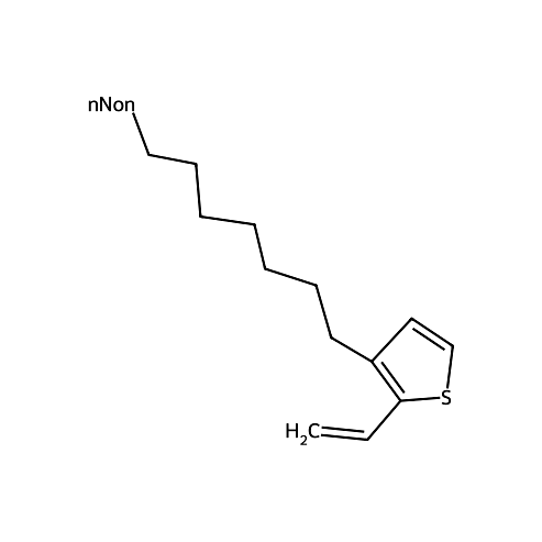 C=Cc1sccc1CCCCCCCCCCCCCCCC